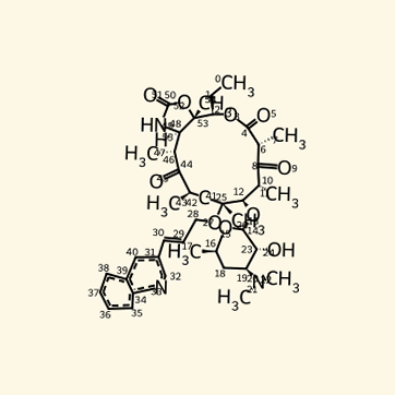 CC[C@H]1OC(=O)[C@H](C)C(=O)[C@H](C)[C@@H](O[C@@H]2O[C@H](C)C[C@H](N(C)C)[C@H]2O)[C@](C)(OCC=Cc2cnc3ccccc3c2)C[C@@H](C)C(=O)[C@H](C)[C@H]2NC(=O)O[C@@]21C